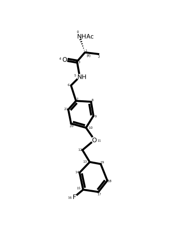 CC(=O)N[C@H](C)C(=O)NCc1ccc(OCC2C=C(F)C=CC2)cc1